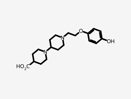 O=C(O)C1CCN(C2CCN(CCOc3ccc(O)cc3)CC2)CC1